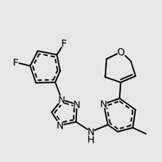 Cc1cc(Nc2ncn(-c3cc(F)cc(F)c3)n2)nc(C2=CCOCC2)c1